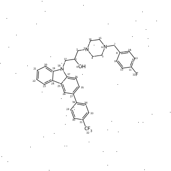 OC(CN1CCN(Cc2ccc(F)cc2)CC1)Cn1c2ccccc2c2cc(-c3ccc(C(F)(F)F)cc3)ccc21